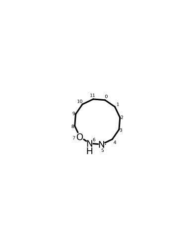 C1CCCC[N]NOCCCC1